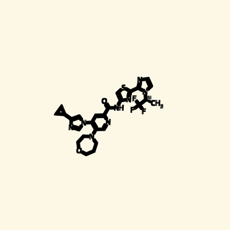 C[C@H](n1ccnc1-c1nc(NC(=O)c2cc(-n3cnc(C4CC4)c3)c(N3CCCOCC3)cn2)cs1)C(F)(F)F